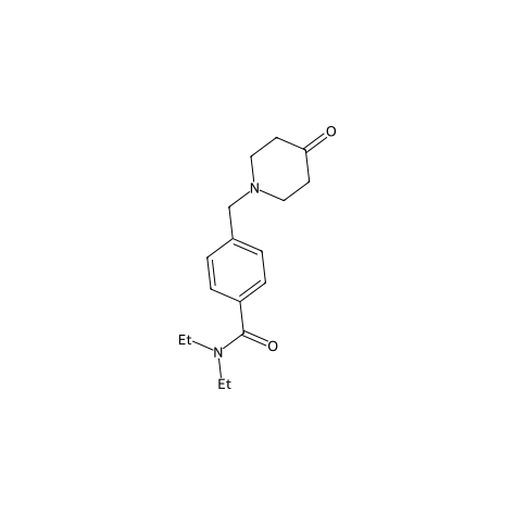 CCN(CC)C(=O)c1ccc(CN2CCC(=O)CC2)cc1